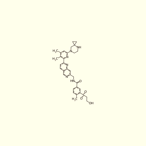 Cc1ccc(C(=O)NCc2cc3nc(-c4nc(N5CCNC6(CC6)C5)cc(C)c4C)ccc3cn2)cc1S(=O)(=O)CCO